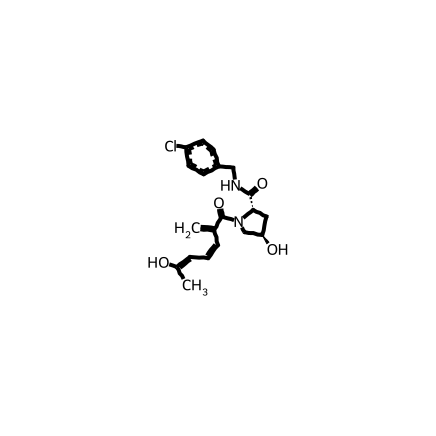 C=C(/C=C\C=C(/C)O)C(=O)N1C[C@H](O)C[C@H]1C(=O)NCc1ccc(Cl)cc1